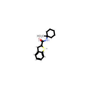 O=C(NC1(C(=O)O)CCCCC1)C1Cc2ccccc2S1